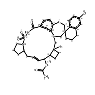 CC(=O)O[C@H]1/C=C/CC2CCCN2S(=O)(=O)NC(=O)c2ccc3c(c2)N(C[C@@H]2CC[C@H]21)C[C@@]1(CCCc2cc(Cl)ccc21)CO3